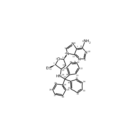 CC[C@H]1O[C@@H](n2cnc3c(N)ncnc32)CC1NC(c1ccccc1)(c1ccccc1)c1ccccc1